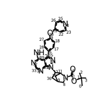 CC(C)(C)OC(=O)N1CC2CC1C(n1nc(-c3ccc(Oc4ccncc4)cc3)c3c(N)ncnc31)C2